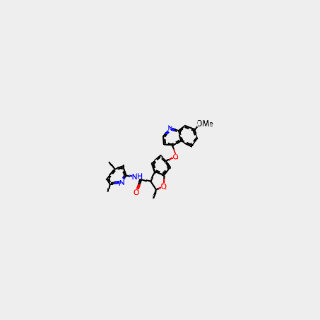 COc1ccc2c(Oc3ccc4c(c3)OC(C)C4C(=O)Nc3cc(C)cc(C)n3)ccnc2c1